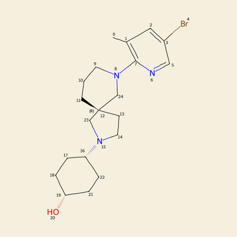 Cc1cc(Br)cnc1N1CCC[C@]2(CCN([C@H]3CC[C@@H](O)CC3)C2)C1